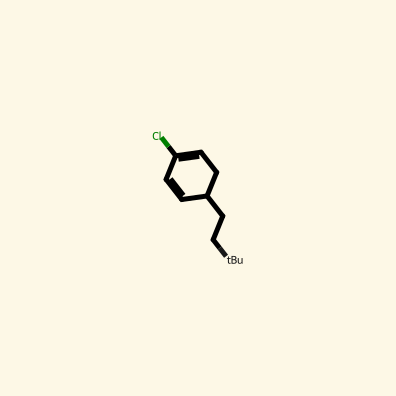 CC(C)(C)CCC1C=CC(Cl)=CC1